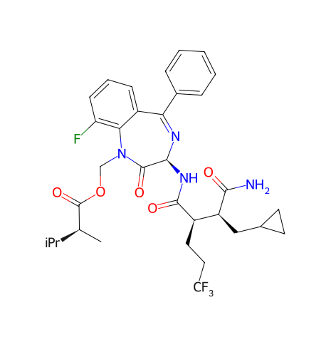 CC(C)[C@H](C)C(=O)OCN1C(=O)[C@H](NC(=O)[C@H](CCC(F)(F)F)[C@H](CC2CC2)C(N)=O)N=C(c2ccccc2)c2cccc(F)c21